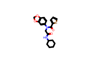 O=C(CN(C(=O)c1cccs1)c1ccc2c(c1)OCO2)NC1CCCCC1